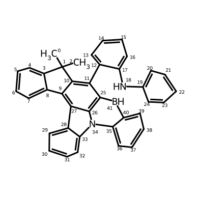 CC1(C)c2ccccc2-c2c1c(-c1ccccc1Nc1ccccc1)c1c3c2c2ccccc2n3-c2ccccc2B1